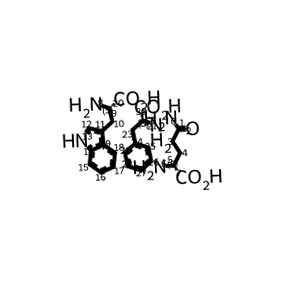 NC(=O)CC[C@H](N)C(=O)O.N[C@@H](Cc1c[nH]c2ccccc12)C(=O)O.N[C@@H](Cc1ccccc1)C(=O)O